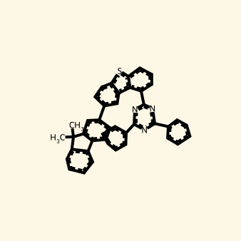 CC1(C)c2ccccc2-c2ccc(-c3ccc4sc5cccc(-c6nc(-c7ccccc7)nc(-c7ccccc7)n6)c5c4c3)cc21